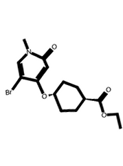 CCOC(=O)[C@H]1CC[C@H](Oc2cc(=O)n(C)cc2Br)CC1